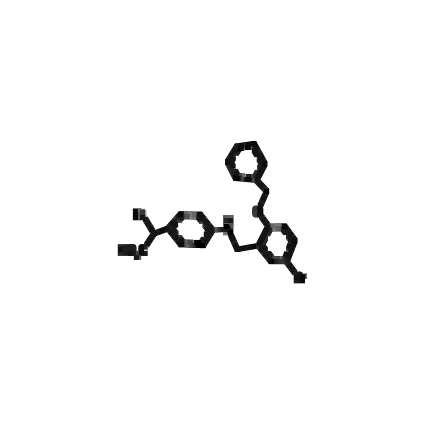 CCC(C(=O)O)c1ccc(NCc2cc(Br)ccc2OCc2ccccc2)cc1